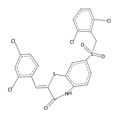 O=C1Nc2ccc(S(=O)(=O)Cc3c(Cl)cccc3Cl)cc2SC1=Cc1ccc(Cl)cc1Cl